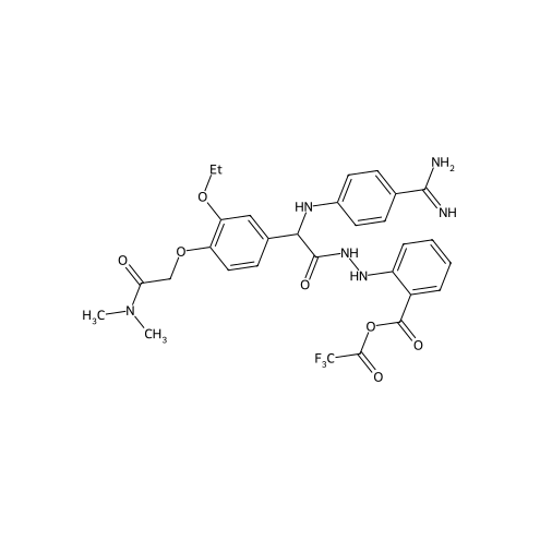 CCOc1cc(C(Nc2ccc(C(=N)N)cc2)C(=O)NNc2ccccc2C(=O)OC(=O)C(F)(F)F)ccc1OCC(=O)N(C)C